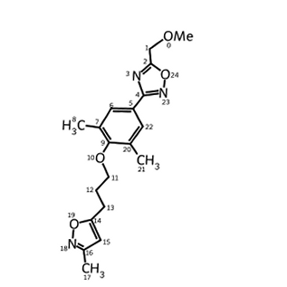 COCc1nc(-c2cc(C)c(OCCCc3cc(C)no3)c(C)c2)no1